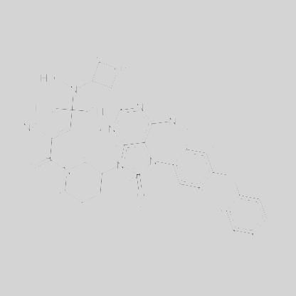 CN(C1COC1)C(C)(C)C=C(C#N)C(=O)N1CCCC(n2c(=O)n(-c3ccc(Oc4ccccc4)cc3)c3c(N)ncnc32)C1